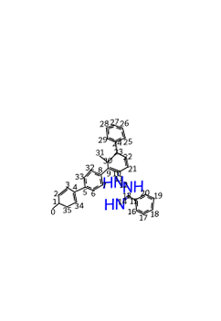 CC1C=CC(c2ccc(C3=C(NNC(=N)c4ccccc4)C=CC(c4ccccc4)C3C)cc2)=CC1